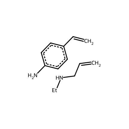 C=CCNCC.C=Cc1ccc(N)cc1